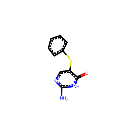 Nc1ncc(Sc2ccccc2)c(=O)[nH]1